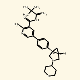 C=C(NC(=O)c1cc(-c2ccc([C@@]34C[C@@H]3CN(C3CCOCC3)C4)cc2)cnc1N)C(C)(C)O